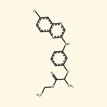 CCOC(=O)C(C)Oc1cccc(Nc2cnc3cc(Cl)ccc3n2)c1